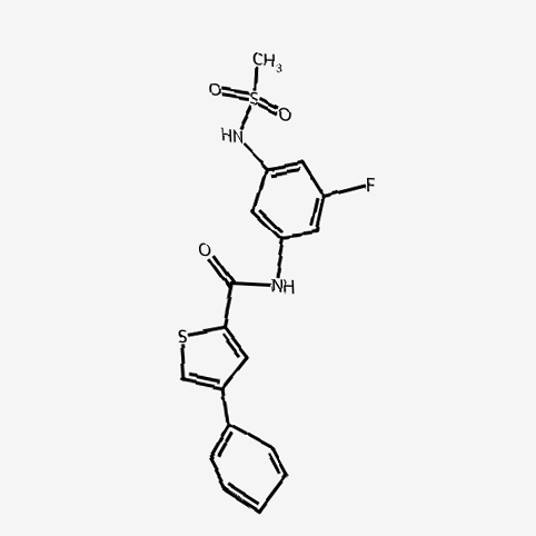 CS(=O)(=O)Nc1cc(F)cc(NC(=O)c2cc(-c3ccccc3)cs2)c1